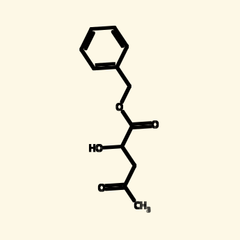 CC(=O)CC(O)C(=O)OCc1ccccc1